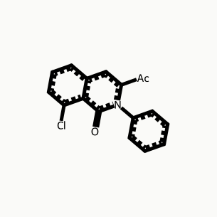 CC(=O)c1cc2cccc(Cl)c2c(=O)n1-c1ccccc1